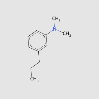 CCCc1cccc(N(C)C)c1